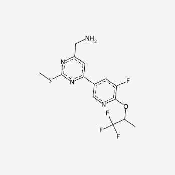 CSc1nc(CN)cc(-c2cnc(OC(C)C(F)(F)F)c(F)c2)n1